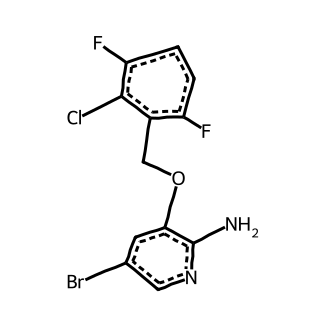 Nc1ncc(Br)cc1OCc1c(F)ccc(F)c1Cl